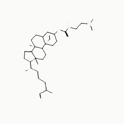 CC[C@]12CCC(OC(=O)NCCN(C)C)CC1CC[C@H]1[C@@H]3CCC([C@H](C)CCCC(C)CI)C3(C)CC[C@@H]12